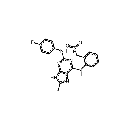 Cc1nc2c(Nc3ccccc3C[SH](=O)=O)nc(Nc3ccc(F)cc3)nc2[nH]1